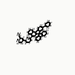 N#Cc1cc(-c2cccc(-c3cc4c(c5ccccc35)-c3ccc(-c5ccccc5)cc3C4(c3ccccc3)c3ccccc3)n2)ccn1